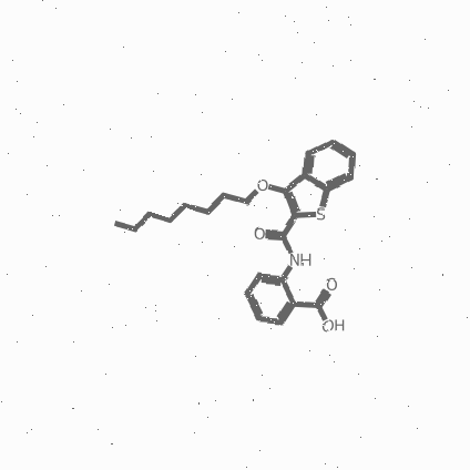 CCCCCCCCOc1c(C(=O)Nc2ccccc2C(=O)O)sc2ccccc12